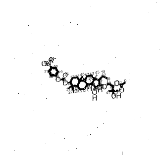 CC(=O)O[C@@H]([C@H]1C[C@@H](C)C2[C@H](O1)[C@H](O)[C@@]1(C)[C@@H]3CC[C@H]4C(C)(C)[C@@H](OC(=O)Oc5ccc([N+](=O)[O-])cc5)CCC45C[C@@]35CC[C@]21C)C(C)(C)O